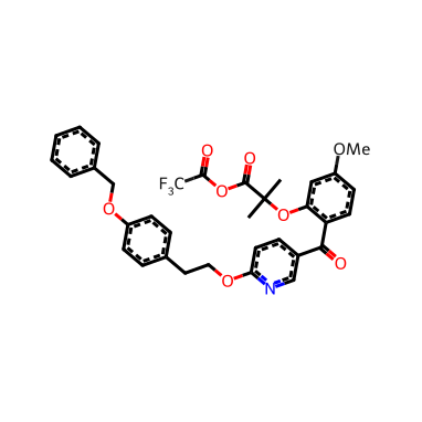 COc1ccc(C(=O)c2ccc(OCCc3ccc(OCc4ccccc4)cc3)nc2)c(OC(C)(C)C(=O)OC(=O)C(F)(F)F)c1